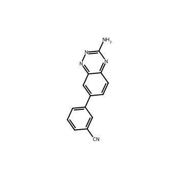 N#Cc1cccc(-c2ccc3nc(N)nnc3c2)c1